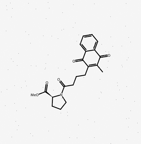 COC(=O)[C@@H]1CCCN1C(=O)CCCC1=C(C)C(=O)c2ccccc2C1=O